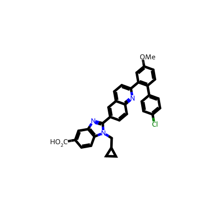 COc1ccc(-c2ccc(Cl)cc2)c(-c2ccc3cc(-c4nc5cc(C(=O)O)ccc5n4CC4CC4)ccc3n2)c1